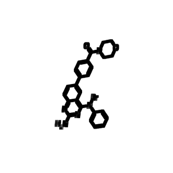 Nc1nc(N(Br)c2ccccc2)c2cc(-c3ccc(C(=O)N4CCOCC4)cc3)ccc2n1